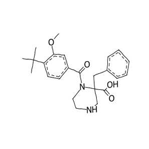 COc1cc(C(=O)N2CCNCC2(Cc2ccccc2)C(=O)O)ccc1C(C)(C)C